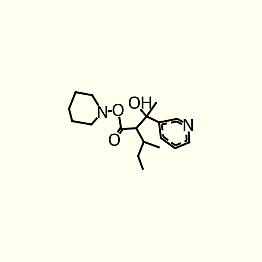 CCC(C)C(C(=O)ON1CCCCC1)C(C)(O)c1cccnc1